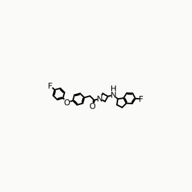 O=C(Cc1ccc(Oc2ccc(F)cc2)cc1)N1CC(NC2CCc3cc(F)ccc32)C1